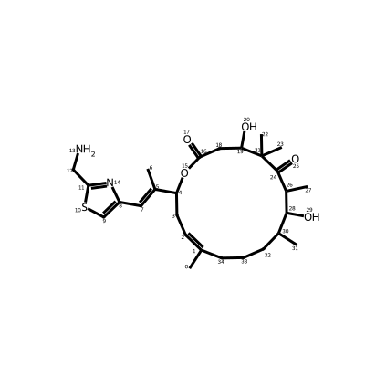 CC1=CCC(C(C)=Cc2csc(CN)n2)OC(=O)CC(O)C(C)(C)C(=O)C(C)C(O)C(C)CCC1